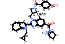 COc1cc(C(=O)N2CC3CCC2[C@@H]3N)cc2nc(-c3cc4ccccc4n3CC3CC3)n(CC3CN(C(=O)c4ccc(O)cc4)C3)c12